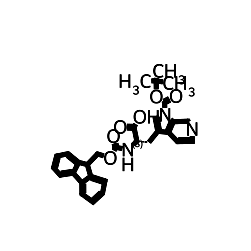 CC(C)(C)OC(=O)n1cc(C[C@H](NC(=O)OCC2c3ccccc3-c3ccccc32)C(=O)O)c2ccncc21